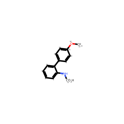 O=C(O)Nc1ccccc1-c1ccc(OC(F)(F)F)cc1